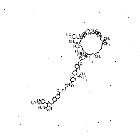 CO[C@H]1C[C@@H]2CC[C@@H](C)[C@@](O)(O2)C(=O)C(=O)N2CCCC[C@H]2C(=O)O[C@H]([C@H](C)C[C@@H]2CC[C@@H](O)[C@H](OC)C2)C[C@@H](O)[C@H](C)/C=C(\C)[C@@H](O)[C@@H](OC)C(=NOCC(=O)NCc2cnc(N3CCN(c4ncc(C(=O)NCCOCCC(=O)N5CCc6cc(Cn7nc(-c8ccc9oc(N)nc9c8)c8c(N)ncnc87)ccc6C5)cn4)[C@H](CN(C)C)C3)nc2)[C@H](C)C[C@H](C)/C=C/C=C/C=C/1C